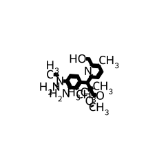 CCN(N)c1ccc(C(c2ccc(C)c(CO)n2)C(C)(C)C(=O)OC)c(C)c1N